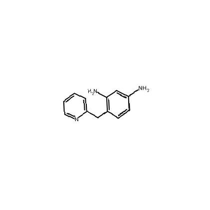 Nc1ccc(Cc2ccccn2)c(N)c1